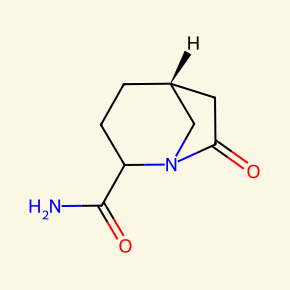 NC(=O)C1CC[C@@H]2CC(=O)N1C2